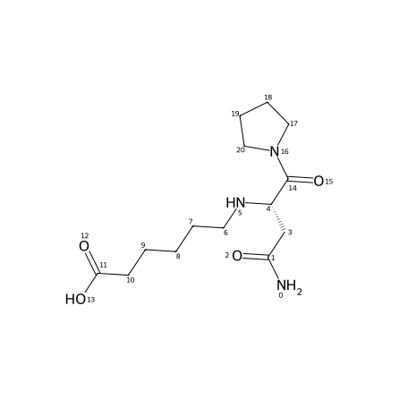 NC(=O)C[C@H](NCCCCCC(=O)O)C(=O)N1CCCC1